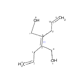 C=CC/C(CO)=C(\CO)CC=C